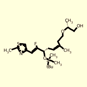 C/C(=C/C[C@H](O[Si](C)(C)C(C)(C)C)/C(F)=C/c1csc(C)n1)CCO[C@H](C)CO